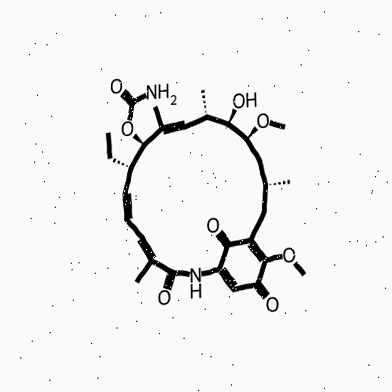 CC[C@H]1/C=C\C=C(/C)C(=O)NC2=CC(=O)C(OC)=C(C[C@@H](C)C[C@H](OC)[C@H](O)[C@@H](C)/C=C(\C)[C@@H]1OC(N)=O)C2=O